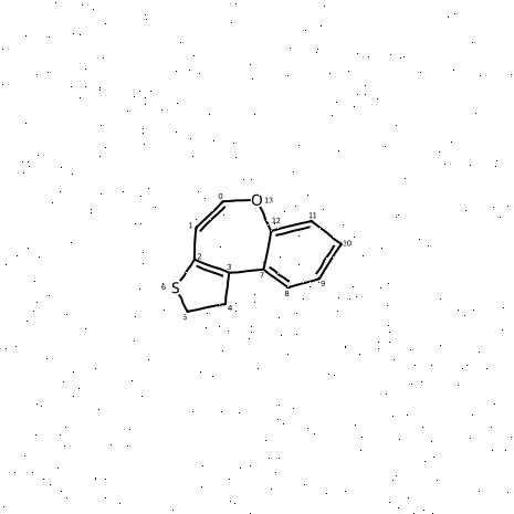 C1=CC2=C(CCS2)c2ccccc2O1